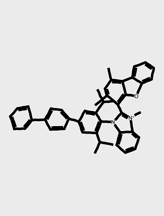 Cc1cc(C)c2c(oc3ccccc32)c1-c1n(-c2c(C(C)C)cc(-c3ccc(-c4ccccc4)cc3)cc2C(C)C)c2ccccc2[n+]1C